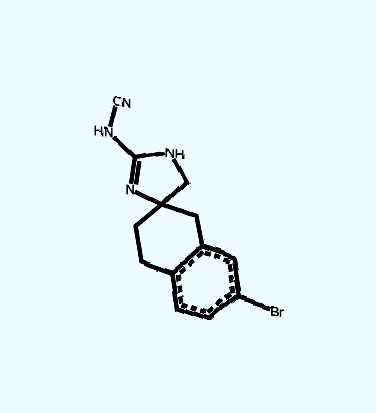 N#CNC1=NC2(CCc3ccc(Br)cc3C2)CN1